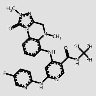 [2H]C([2H])([2H])NC(=O)c1cnc(Nc2ccc(F)cn2)cc1Nc1cccc2c1N(C)Cc1nn(C)c(=O)n1-2